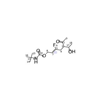 CC(=O)C(C/C(F)=C/COC(=O)NC(C)(C)C)C(C)O